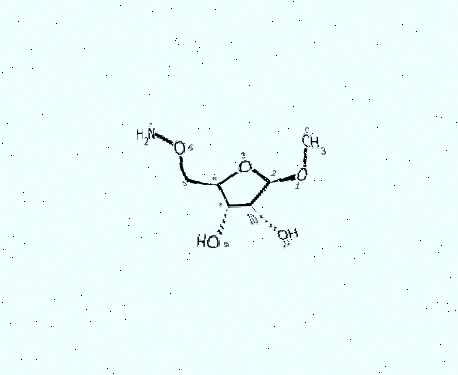 CO[C@@H]1O[C@H](CON)[C@@H](O)[C@H]1O